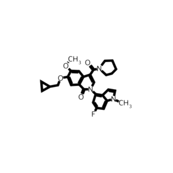 COc1cc2c(C(=O)N3CCCCC3)cn(-c3cc(F)cc4c3ccn4C)c(=O)c2cc1OCC1CC1